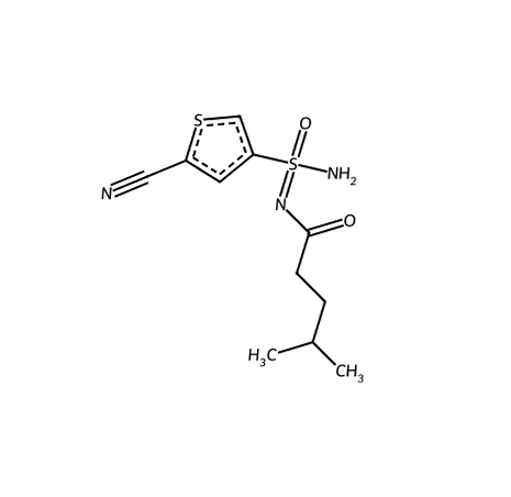 CC(C)CCC(=O)N=S(N)(=O)c1csc(C#N)c1